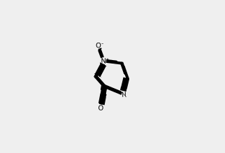 O=C1C=[N+]([O-])CC=N1